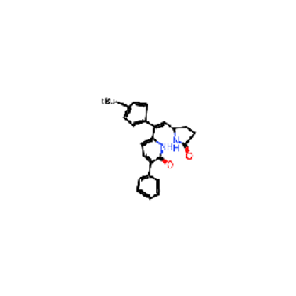 CC(C)(C)c1ccc(/C(=C/[C@H]2CCC(=O)N2)c2ccc(-c3ccccc3)c(=O)[nH]2)cc1